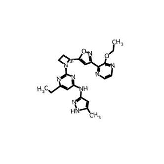 CCOc1nccnc1-c1cc([C@@H]2CCN2c2nc(CC)cc(Nc3cc(C)[nH]n3)n2)on1